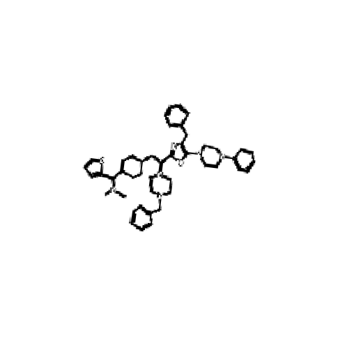 CN(C)C(c1cccs1)C1CCC(CC(c2nc(Cc3ccccc3)c(N3CCN(c4ccccc4)CC3)o2)N2CCN(Cc3ccccc3)CC2)CC1